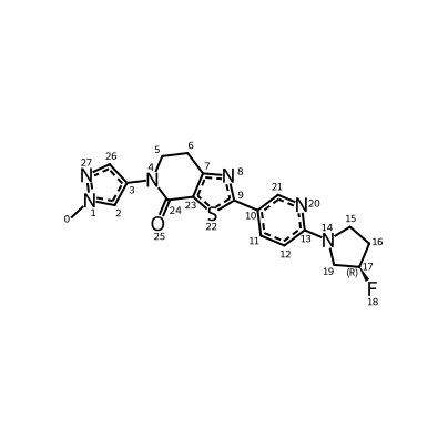 Cn1cc(N2CCc3nc(-c4ccc(N5CC[C@@H](F)C5)nc4)sc3C2=O)cn1